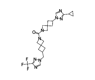 O=C(N1CC2(CC(Cn3cnc(C(F)(F)F)n3)C2)C1)N1CC2(CC(n3cnc(C4CC4)n3)C2)C1